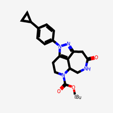 CC(C)(C)OC(=O)N1CCc2c3c(nn2-c2ccc(C4CC4)cc2)CC(=O)NCC31